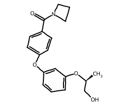 C[C@@H](CO)Oc1cccc(Oc2ccc(C(=O)N3CCC3)cc2)c1